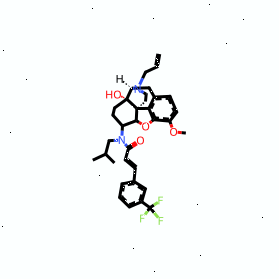 C=CCN1CC[C@]23c4c5ccc(OC)c4OC2C(N(CC(C)C)C(=O)/C=C/c2cccc(C(F)(F)F)c2)CC[C@@]3(O)[C@H]1C5